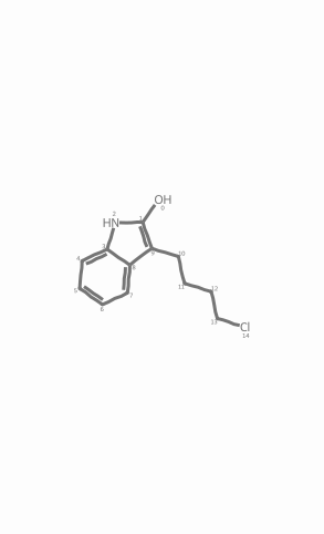 Oc1[nH]c2ccccc2c1CCCCCl